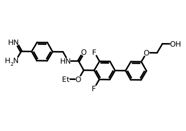 CCOC(C(=O)NCc1ccc(C(=N)N)cc1)c1c(F)cc(-c2cccc(OCCO)c2)cc1F